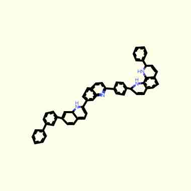 C1=CC2=CC=C(c3ccc4ccc(-c5ccc(C6C=Cc7ccc8c(c7N6)NC(c6ccccc6)C=C8)cc5)nc4c3)NC2C=C1c1cccc(-c2ccccc2)c1